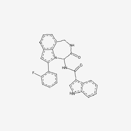 O=C(NC1C(=O)NCc2cccc3cc(-c4ccccc4F)n1c23)c1c[nH]c2ccccc12